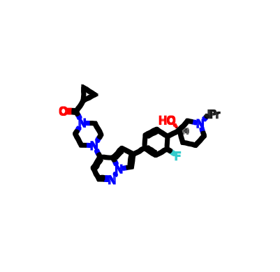 CC(C)N1CCC[C@@](O)(C2C=CC(c3cc4c(N5CCN(C(=O)C6CC6)CC5)ccnn4c3)=CC2F)C1